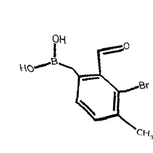 Cc1ccc(B(O)O)c(C=O)c1Br